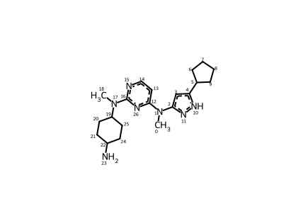 CN(c1cc(C2CCCC2)[nH]n1)c1ccnc(N(C)C2CCC(N)CC2)n1